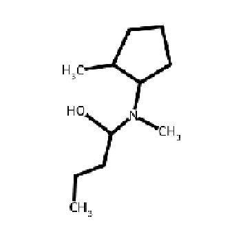 CCCC(O)N(C)C1CCCC1C